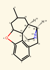 CC1CC2Oc3cccc4c3[C@@]23CCN[C@H](C4)[C@@H]3C1